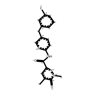 Cc1cc(C(=O)Nc2ccc(Cc3cccc(F)c3)cn2)nn(C)c1=O